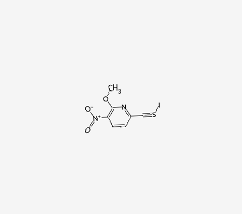 COc1nc(C#SI)ccc1[N+](=O)[O-]